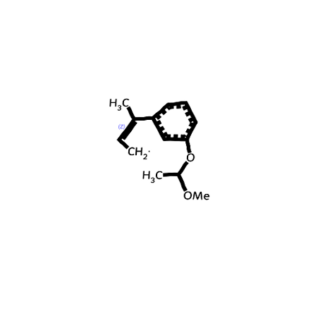 [CH2]/C=C(/C)c1cccc(OC(C)OC)c1